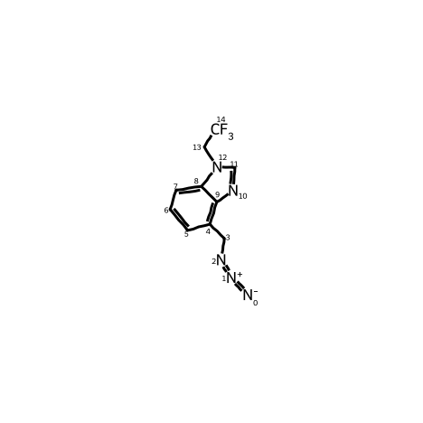 [N-]=[N+]=NCc1cccc2c1ncn2CC(F)(F)F